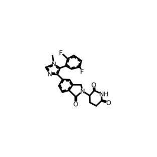 Cn1cnc(-c2ccc3c(c2)CN(C2CCC(=O)NC2=O)C3=O)c1-c1cc(F)ccc1F